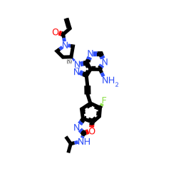 C=CC(=O)N1CC[C@H](n2nc(C#Cc3cc4nc(NC(C)C)oc4cc3F)c3c(N)ncnc32)C1